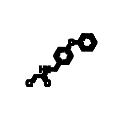 O=C(CCl)NCc1ccc(Oc2ccccc2)cc1